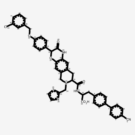 N#Cc1ccc(-c2ccc(CC(NC(=O)C3Cc4cc5c(cc4CN3Cc3nccs3)OC(c3ccc(OCc4cccc(Cl)c4)cc3)C(=O)N5)C(=O)O)cc2)cc1